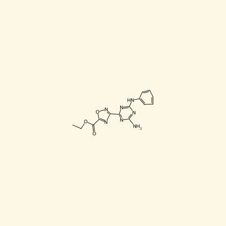 CCOC(=O)c1nc(-c2nc(N)nc(Nc3ccccc3)n2)no1